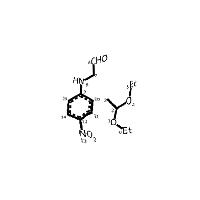 CCOC(C)OCC.O=CCNc1ccc([N+](=O)[O-])cc1